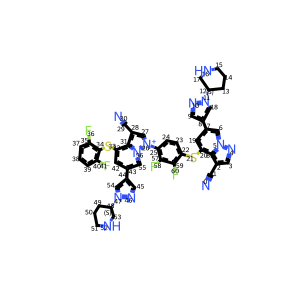 N#Cc1cnn2cc(-c3cnn([C@H]4CCCNC4)c3)cc(Sc3ccc(-[n+]4cc(C#N)c5c(Sc6c(F)cccc6F)cc(-c6cnn([C@H]7CCCNC7)c6)cn54)c(F)c3F)c12